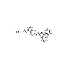 O=C(O)COc1cccc2c1CC/C(=C/CO/N=C(/c1ccccc1)c1ccncc1)C2